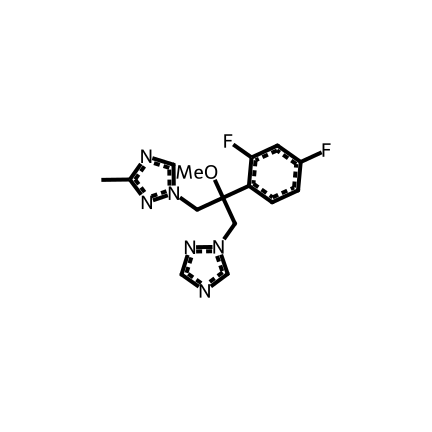 COC(Cn1cncn1)(Cn1cnc(C)n1)c1ccc(F)cc1F